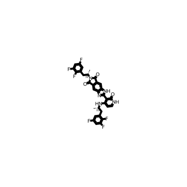 C[C@@H](Cc1cc(F)cc(F)c1F)Nc1cc[nH]c(=O)c1-c1nc2cc3c(cc2[nH]1)C(=O)N([C@@H](C)Cc1cc(F)cc(F)c1F)C3=O